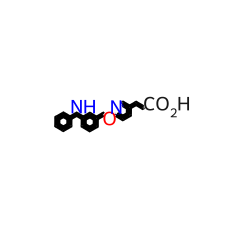 N=C(c1ccccc1)c1cccc(COc2ccc(CCC(=O)O)cn2)c1